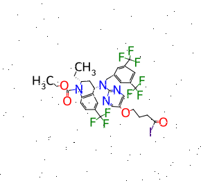 CCOC(=O)N1c2ccc(C(F)(F)F)cc2[C@@H](N(Cc2cc(C(F)(F)F)cc(C(F)(F)F)c2)c2ncc(OCCCC(=O)I)cn2)C[C@H]1CC